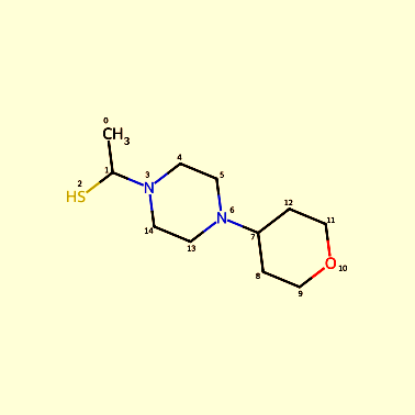 CC(S)N1CCN(C2CCOCC2)CC1